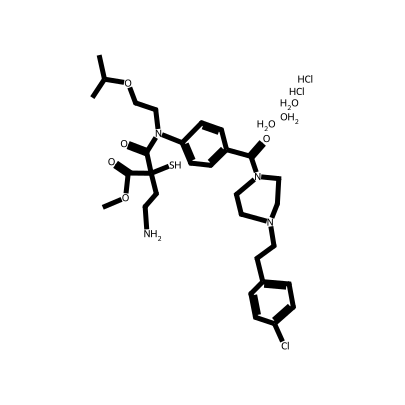 COC(=O)C(S)(CCN)C(=O)N(CCOC(C)C)c1ccc(C(=O)N2CCN(CCc3ccc(Cl)cc3)CC2)cc1.Cl.Cl.O.O.O